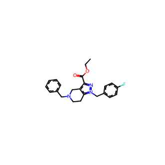 CCOC(=O)c1nn(Cc2ccc(F)cc2)c2c1CN(Cc1ccccc1)CC2